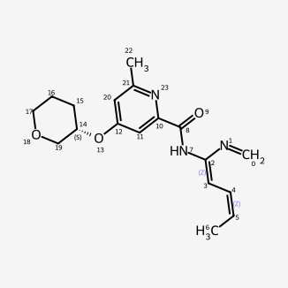 C=N/C(=C\C=C/C)NC(=O)c1cc(O[C@H]2CCCOC2)cc(C)n1